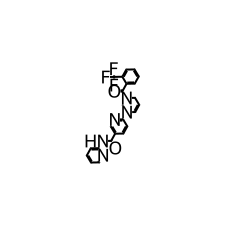 O=C(Nc1ccccn1)c1ccc(N2C=CCN(C(=O)c3ccccc3C(F)(F)F)C2)nc1